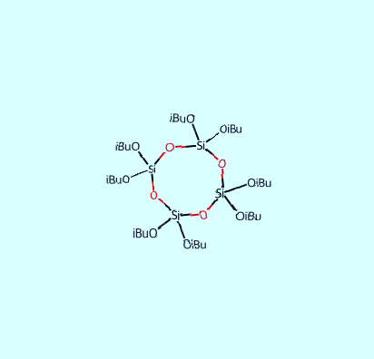 CC(C)CO[Si]1(OCC(C)C)O[Si](OCC(C)C)(OCC(C)C)O[Si](OCC(C)C)(OCC(C)C)O[Si](OCC(C)C)(OCC(C)C)O1